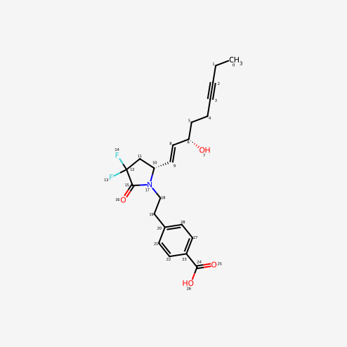 CCC#CCC[C@H](O)/C=C/[C@H]1CC(F)(F)C(=O)N1CCc1ccc(C(=O)O)cc1